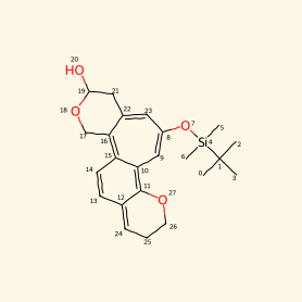 CC(C)(C)[Si](C)(C)OC1=Cc2c3c(ccc2=C2COC(O)CC2=C1)=CCCO3